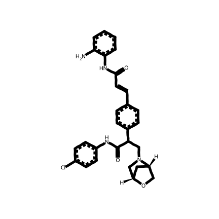 Nc1ccccc1NC(=O)/C=C/c1ccc(C(CN2C[C@@H]3C[C@H]2CO3)C(=O)Nc2ccc(Cl)cc2)cc1